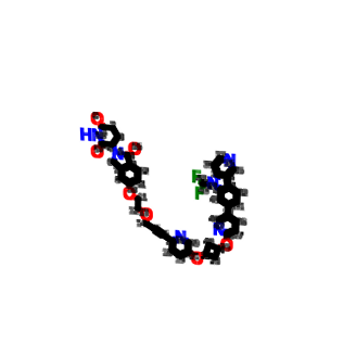 O=C1CCC(N2Cc3cc(OCCOCC#Cc4ccc(OC5CC(Oc6ccc(-c7ccc8c9cnccc9n(C(F)F)c8c7)cn6)C5)cn4)ccc3C2=O)C(=O)N1